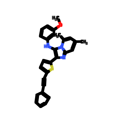 COc1cccc(Nc2c(-c3ccc(C#Cc4ccccc4)s3)nc3cc(C)cc(C)n23)c1